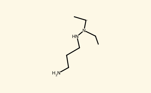 C[CH]N(CC)NCCCN